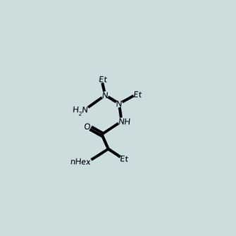 CCCCCCC(CC)C(=O)NN(CC)N(N)CC